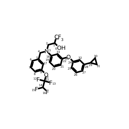 OC(CN(Cc1cccc(OC(F)(F)C(F)F)c1)c1cccc(Oc2cccc(C3CC3)c2)c1)C(F)(F)F